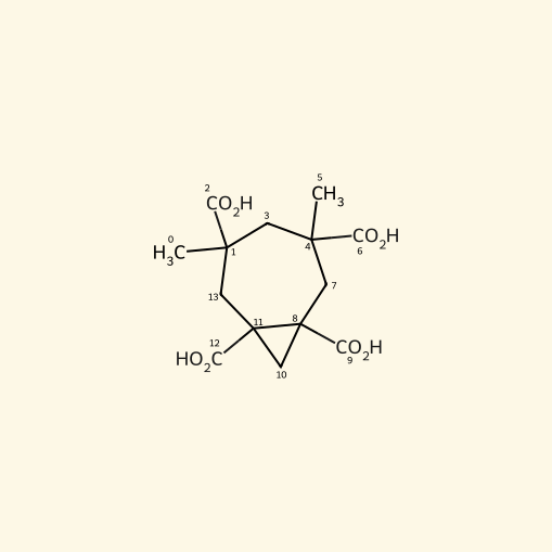 CC1(C(=O)O)CC(C)(C(=O)O)CC2(C(=O)O)CC2(C(=O)O)C1